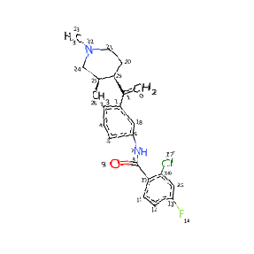 C=C(c1cccc(NC(=O)c2ccc(F)cc2Cl)c1)[C@@H]1CCN(C)C[C@@H]1C